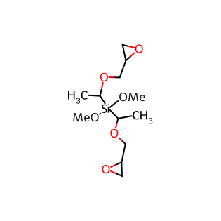 CO[Si](OC)(C(C)OCC1CO1)C(C)OCC1CO1